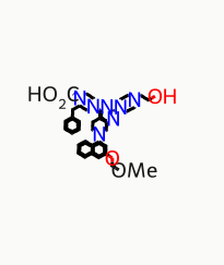 COCOc1cc(N2CCc3c(nc(N4CCN(CCO)CC4)nc3N3CCN(C(=O)O)C(Cc4ccccc4)C3)C2)c2ccccc2c1